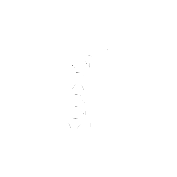 Cc1ccccc1NC(=O)Nc1ccc(CC(=O)N2C(C)CCC2c2cc(CCC(=O)O)on2)cc1